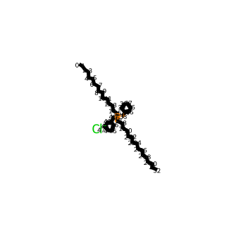 CCCCCCCCCCCCCCCC[P+](CCCCCCCCCCCCCCCC)(Cc1ccccc1)Cc1ccccc1.[Cl-]